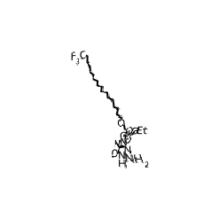 CCOCP(=O)(OCCOCCCCCCCCCCCCCCCCCC(F)(F)F)On1cnc2c(=O)[nH]c(N)nc21